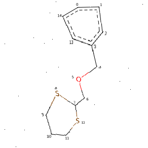 c1ccc(COCC2SCCCS2)cc1